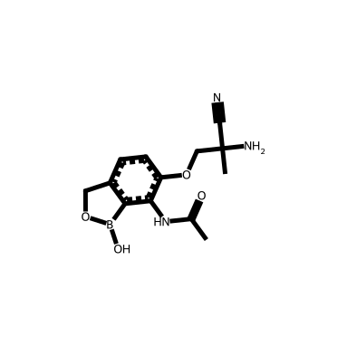 CC(=O)Nc1c(OCC(C)(N)C#N)ccc2c1B(O)OC2